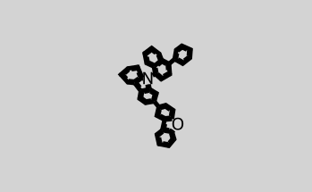 c1ccc(-c2ccc(-n3c4ccccc4c4ccc(-c5ccc6oc7ccccc7c6c5)cc43)c3ccccc23)cc1